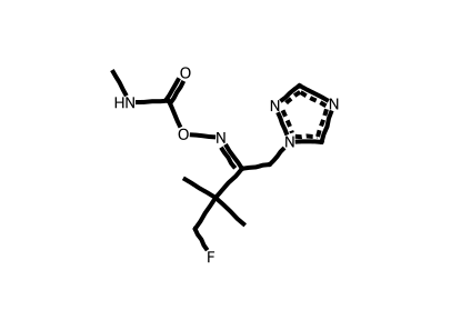 CNC(=O)ON=C(Cn1cncn1)C(C)(C)CF